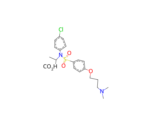 CC(C(=O)O)N(c1ccc(Cl)cc1)S(=O)(=O)c1ccc(OCCCN(C)C)cc1